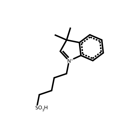 CC1(C)C=[N+](CCCCS(=O)(=O)O)c2ccccc21